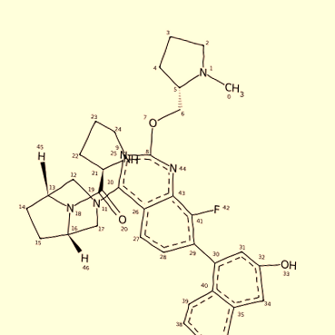 CN1CCC[C@H]1COc1nc(N2C[C@H]3CC[C@@H](C2)N3C(=O)[C@H]2CCCN2)c2ccc(-c3cc(O)cc4ccccc34)c(F)c2n1